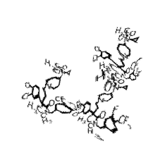 CN(Cc1ccc(C(F)(F)F)c(F)c1)C(=O)C(C)(CCN1CCC(N(C2CC2)S(C)(=O)=O)CC1)c1ccc(Cl)c(Cl)c1.CN(Cc1ccc(Cl)c(C(F)(F)F)c1)C(=O)C(C)(CCN1CCC(N(C2CC2)S(C)(=O)=O)CC1)c1ccc(Cl)c(Cl)c1.CN(Cc1ccc(F)c(C(F)(F)F)c1)C(=O)C(C)(CCN1CCC(N(C2CC2)S(C)(=O)=O)CC1)c1ccc(Cl)c(Cl)c1